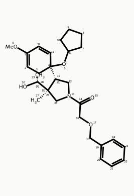 COC1=CCC(OC2CCCC2)([C@@H]2CN(C(=O)COCc3ccccc3)C[C@@]2(C)[C@@H](C)O)C=C1